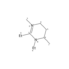 CCC1=[N+](C)CCC(C)N1CC